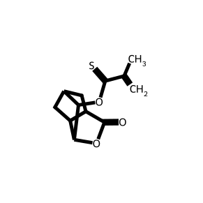 C=C(C)C(=S)OC1C2CC3C(=O)OC1C3C2